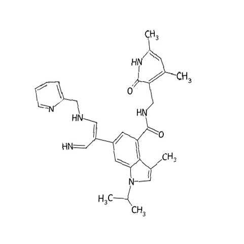 Cc1cc(C)c(CNC(=O)c2cc(/C(C=N)=C/NCc3ccccn3)cc3c2c(C)cn3C(C)C)c(=O)[nH]1